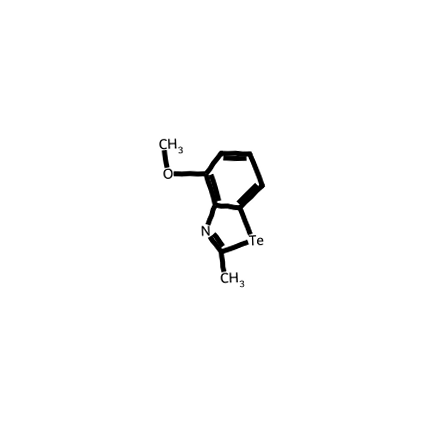 COc1cccc2[te]c(C)nc12